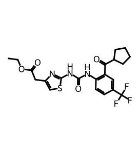 CCOC(=O)Cc1csc(NC(=O)Nc2ccc(C(F)(F)F)cc2C(=O)C2CCCC2)n1